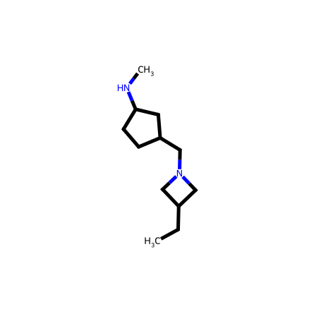 CCC1CN(CC2CCC(NC)C2)C1